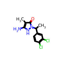 Cc1c(N)[nH]n(C(C)c2ccc(Cl)c(Cl)c2)c1=O